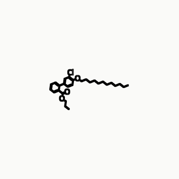 CCCCCCCCCCCCOc1ccc(-c2ccccc2C(=O)OCCC)cc1Cl